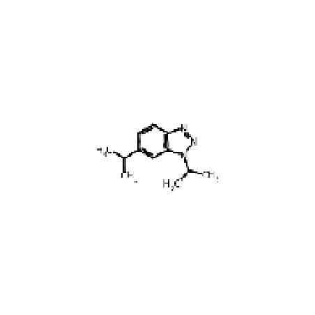 CC(C)c1ccc2nnn(C(C)C)c2c1